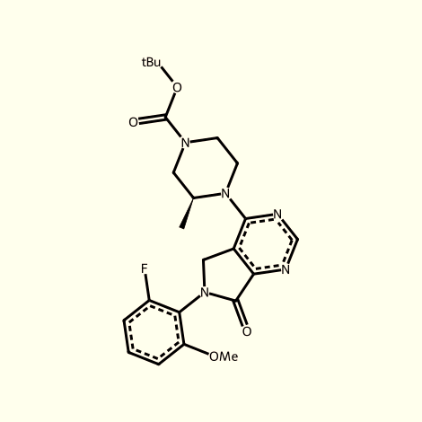 COc1cccc(F)c1N1Cc2c(ncnc2N2CCN(C(=O)OC(C)(C)C)C[C@@H]2C)C1=O